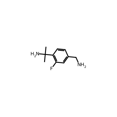 CC(C)(N)c1ccc(CN)cc1F